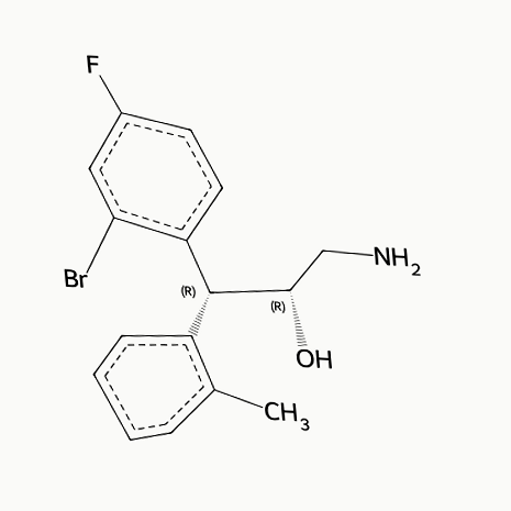 Cc1ccccc1[C@H](c1ccc(F)cc1Br)[C@@H](O)CN